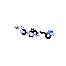 COc1cc(N2CCN3C(=O)[C@@H](CCCc4cccc5ncnn45)C[C@H]3C2)ccn1